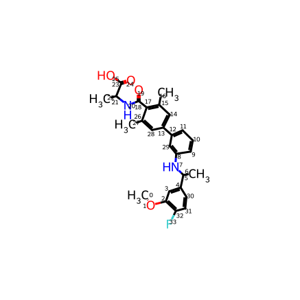 COc1cc(C(C)Nc2cccc(-c3cc(C)c(C(=O)NC(C)C(=O)O)c(C)c3)c2)ccc1F